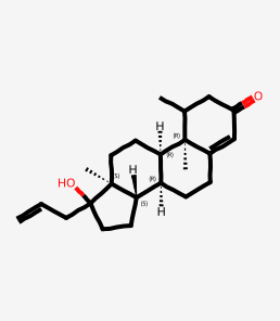 C=CCC1(O)CC[C@H]2[C@@H]3CCC4=CC(=O)CC(C)[C@]4(C)[C@@H]3CC[C@@]21C